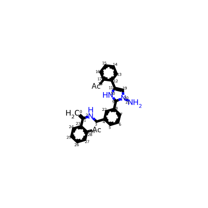 C=C(NCc1cccc(C2NC(c3ccccc3C(C)=O)=CN2N)c1)c1ccccc1C(C)=O